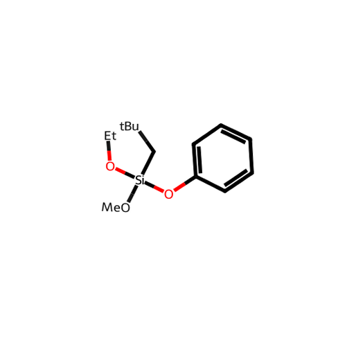 CCO[Si](CC(C)(C)C)(OC)Oc1ccccc1